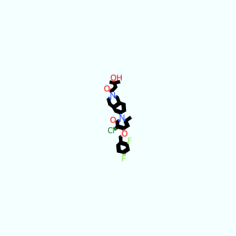 Cc1cc(OCc2ccc(F)cc2F)c(Cl)c(=O)n1-c1ccc2c(c1)CCN(C(=O)CC(C)(C)O)C2